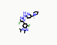 Cc1nc2c(F)cc(-c3nc(Nc4ccc([C@@H](C)N5CCCC5)cn4)ncc3F)cc2n1C(C)C